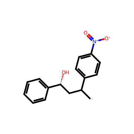 [CH2]C(C[C@@H](O)c1ccccc1)c1ccc([N+](=O)[O-])cc1